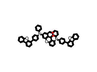 c1ccc(N(c2ccc(-c3cccc4c3oc3ccccc34)cc2)c2cc3c4c(cccc4c2)-c2c(cccc2N(c2ccccc2)c2ccc(-c4cccc5c4oc4ccccc45)cc2)O3)cc1